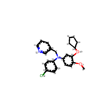 COc1ccc(N(Cc2cccnc2)c2ccc(Cl)cc2)cc1OC1CCCC1